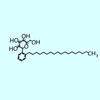 CCCCCCCCCCCCCCCCCCc1ccccc1[C]1O[C@H](CO)[C@@H](O)[C@H](O)[C@@H]1O